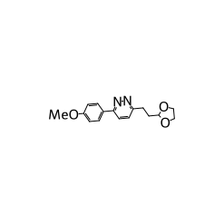 COc1ccc(-c2ccc(CCC3OCCO3)nn2)cc1